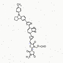 Cc1ccc(N2c3ccc(-c4cnc(-c5ccc(-c6ncc(/C=c7/s/c(=C8/SC(=O)N(C)C8=O)n(COC=O)c7=O)s6)c6nsnc56)s4)cc3C3CCCC32)cc1